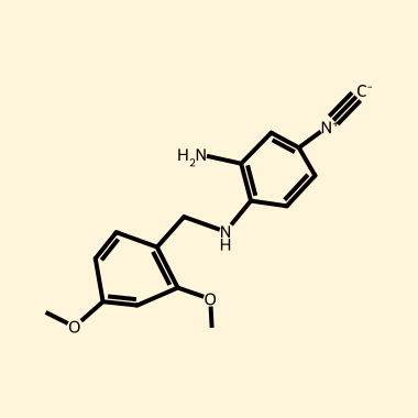 [C-]#[N+]c1ccc(NCc2ccc(OC)cc2OC)c(N)c1